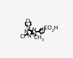 Cn1c(C2=CN(C(=O)O)CC2)nc2c(N3CCOCC3)nc(Cl)nc21